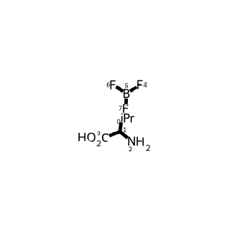 CC(C)C(N)C(=O)O.FB(F)F